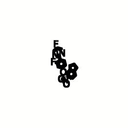 O=[N+]([O-])c1ccc2c(c1Oc1ccc(-c3ncc(F)cn3)c(F)c1)CCC2